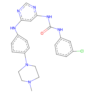 CN1CCN(c2ccc(Nc3cc(NC(=O)Nc4cccc(Cl)c4)ncn3)cc2)CC1